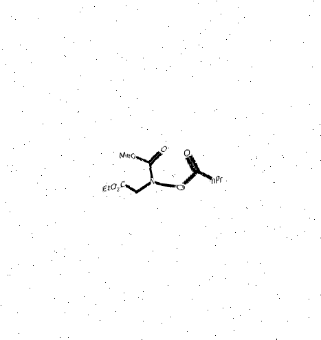 CCCC(=O)ON(CC(=O)OCC)C(=O)OC